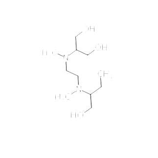 CCC(CO)N(C)CCN(C)C(CO)CO